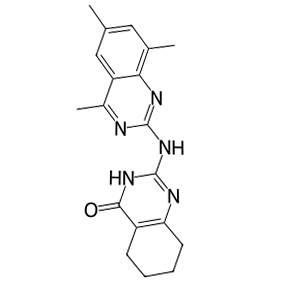 Cc1cc(C)c2nc(Nc3nc4c(c(=O)[nH]3)CCCC4)nc(C)c2c1